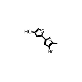 Cc1sc(-c2cc(O)cs2)cc1Br